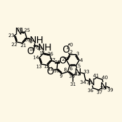 COc1ccc2c(c1)c(C=C1Oc3ccc(NC(=O)Nc4cccnc4)cc3C1=O)c(C)n2CCN1CCN(C)CC1